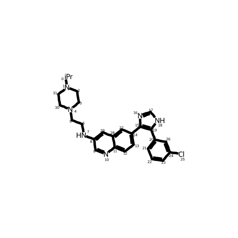 CC(C)N1CCN(CCNc2cnc3ccc(-c4nc[nH]c4-c4cccc(Cl)c4)cc3c2)CC1